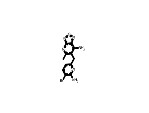 Cc1nc2nonc2c(N)c1Cc1ccc(Br)c(N)n1